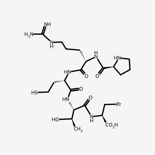 CC(C)C[C@H](NC(=O)[C@@H](NC(=O)[C@H](CCS)NC(=O)[C@H](CCCNC(=N)N)NC(=O)[C@@H]1CCCN1)[C@@H](C)O)C(=O)O